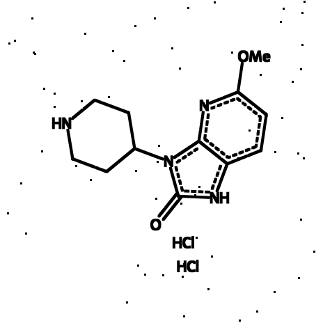 COc1ccc2[nH]c(=O)n(C3CCNCC3)c2n1.Cl.Cl